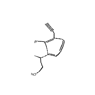 C#Cc1cccc([C](C)CO)c1Br